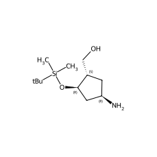 CC(C)(C)[Si](C)(C)O[C@@H]1C[C@H](N)C[C@H]1CO